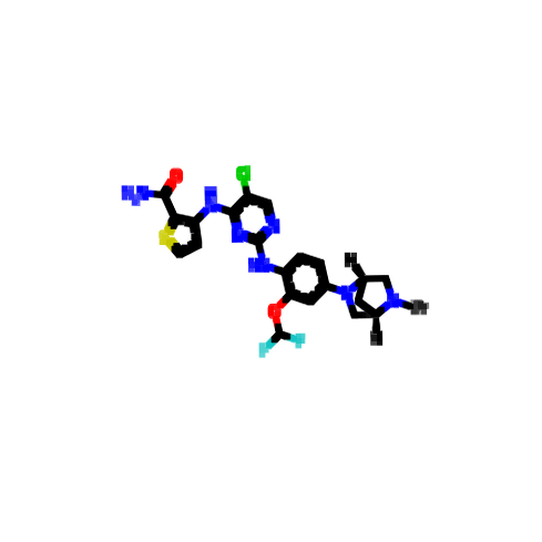 CC(C)N1C[C@@H]2C[C@H]1CN2c1ccc(Nc2ncc(Cl)c(Nc3ccsc3C(N)=O)n2)c(OC(F)F)c1